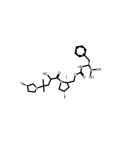 CC(C)(CC(C#N)C(=O)N1C[C@@H](F)C[C@]1(C)COC(=O)N[C@@H](Cc1ccccc1)B(O)O)N1CC[C@@H](F)C1